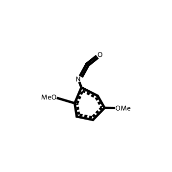 COc1ccc(OC)c(N=C=O)c1